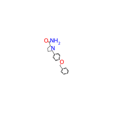 NC(=O)C1CCC(c2ccc(OCc3ccccc3)cc2)=N1